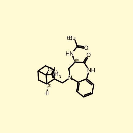 CC(C)(C)C(=O)N[C@@H]1CN(CC2=CCC3C[C@H]2C3(C)C)c2ccccc2NC1=O